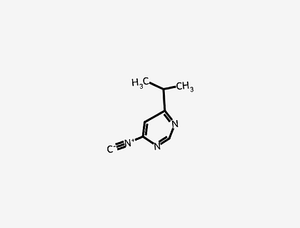 [C-]#[N+]c1cc(C(C)C)ncn1